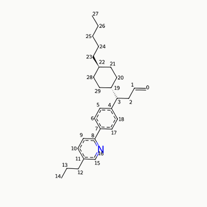 C=CCC(c1ccc(-c2ccc(CCC)cn2)cc1)[C@H]1CC[C@H](CCCCC)CC1